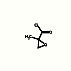 CC1(C(=O)Cl)CO1